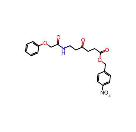 O=C(CCNC(=O)COc1ccccc1)CCC(=O)OCc1ccc([N+](=O)[O-])cc1